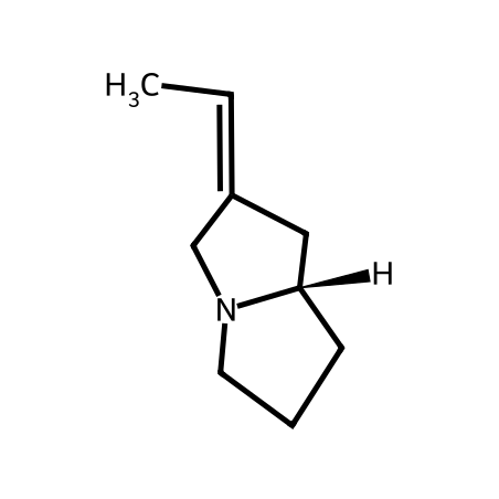 C/C=C1/C[C@@H]2CCCN2C1